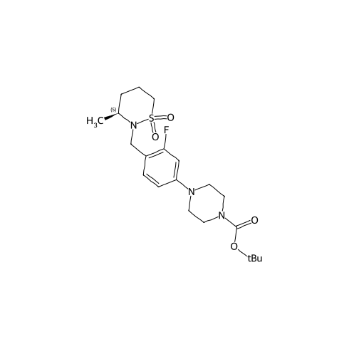 C[C@H]1CCCS(=O)(=O)N1Cc1ccc(N2CCN(C(=O)OC(C)(C)C)CC2)cc1F